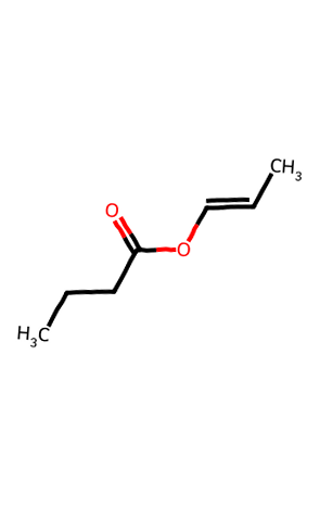 C/C=C/OC(=O)CCC